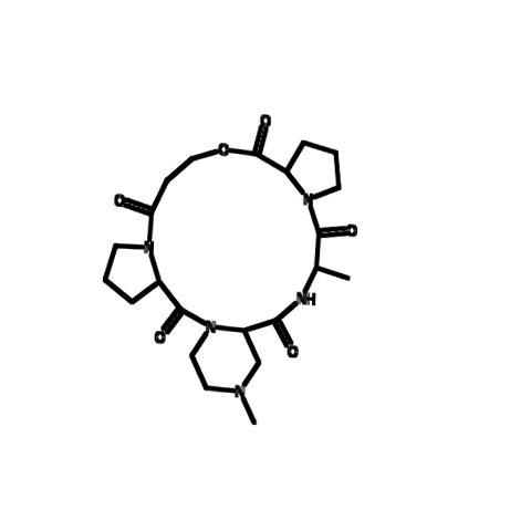 CC1NC(=O)C2CN(C)CCN2C(=O)C2CCCN2C(=O)CCOC(=O)C2CCCN2C1=O